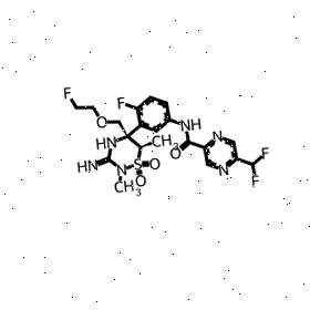 C[C@@H]1[C@@](COCCF)(c2cc(NC(=O)c3cnc(C(F)F)cn3)ccc2F)NC(=N)N(C)S1(=O)=O